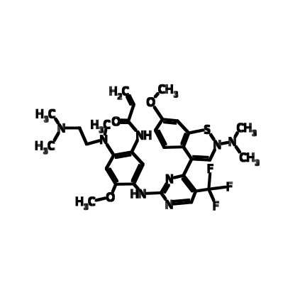 C=CC(=O)Nc1cc(Nc2ncc(C(F)(F)F)c(C3=CN(N(C)C)Sc4cc(OC)ccc43)n2)c(OC)cc1N(C)CCN(C)C